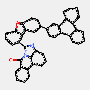 O=c1c2ccccc2c2cccc3nc(-c4cccc5oc6ccc(-c7ccc8c9ccccc9c9ccccc9c8c7)cc6c45)n1c32